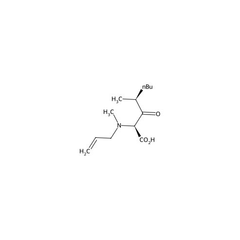 C=CCN(C)[C@H](C(=O)O)C(=O)[C@@H](C)CCCC